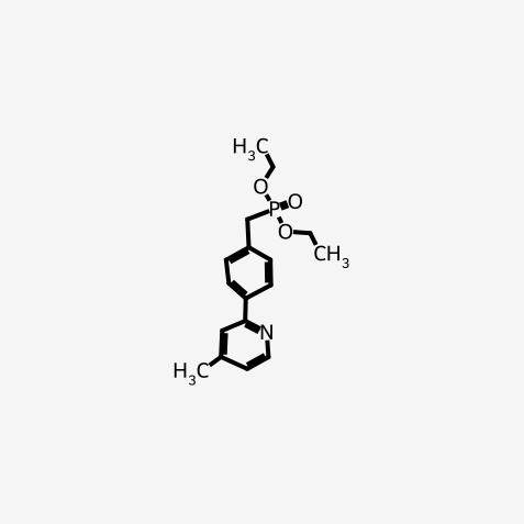 CCOP(=O)(Cc1ccc(-c2cc(C)ccn2)cc1)OCC